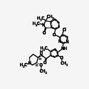 COc1cc(C(=O)N[C@@H]2CCN(C)C[C@H]2OC)c(C)cc1Nc1ncc(Cl)c(Oc2cccc3c2C(=O)N(C)C3(C)C)n1